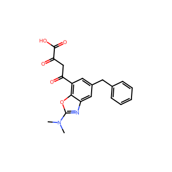 CN(C)c1nc2cc(Cc3ccccc3)cc(C(=O)CC(=O)C(=O)O)c2o1